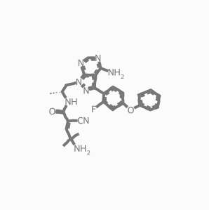 C[C@H](Cn1nc(-c2ccc(Oc3ccccc3)cc2F)c2c(N)ncnc21)NC(=O)/C(C#N)=C/C(C)(C)N